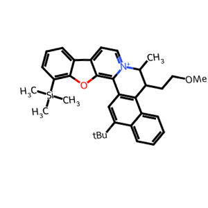 COCCC1c2c(cc(C(C)(C)C)c3ccccc23)-c2c3oc4c([Si](C)(C)C)cccc4c3cc[n+]2C1C